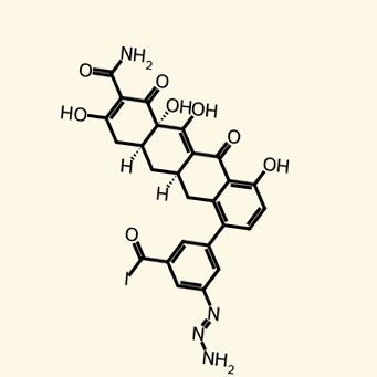 NN=Nc1cc(C(=O)I)cc(-c2ccc(O)c3c2C[C@H]2C[C@H]4CC(O)=C(C(N)=O)C(=O)[C@@]4(O)C(O)=C2C3=O)c1